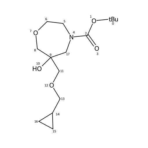 CC(C)(C)OC(=O)N1CCOCC(O)(COCC2CC2)C1